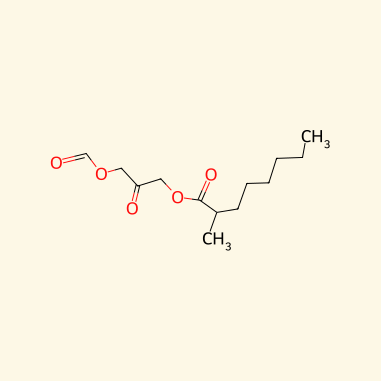 CCCCCCC(C)C(=O)OCC(=O)COC=O